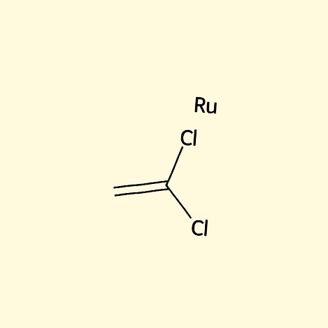 C=C(Cl)Cl.[Ru]